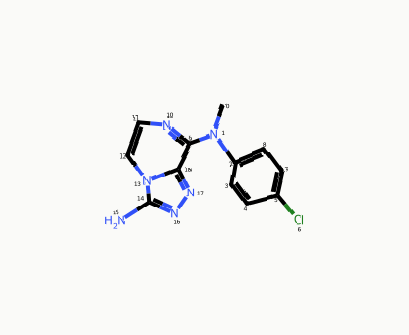 CN(c1ccc(Cl)cc1)c1nccn2c(N)nnc12